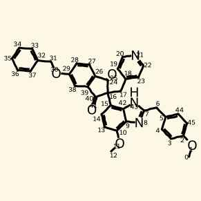 COc1ccc(Cc2nc3c(OC)ccc(C4(Cc5ccncc5)C(=O)c5ccc(OCc6ccccc6)cc5C4=O)c3[nH]2)cc1